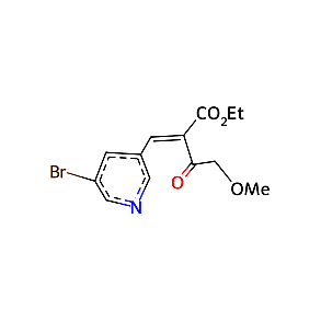 CCOC(=O)C(=Cc1cncc(Br)c1)C(=O)COC